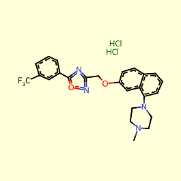 CN1CCN(c2cccc3ccc(OCc4noc(-c5cccc(C(F)(F)F)c5)n4)cc23)CC1.Cl.Cl